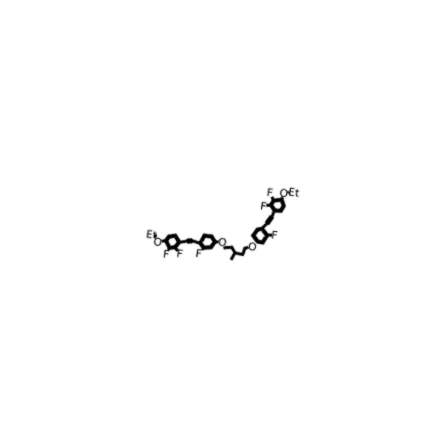 CCOc1ccc(C#Cc2ccc(OCCC(C)CCOc3ccc(C#Cc4ccc(OCC)c(F)c4F)c(F)c3)cc2F)c(F)c1F